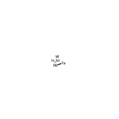 [Nb][Ta].[SnH2].[W]